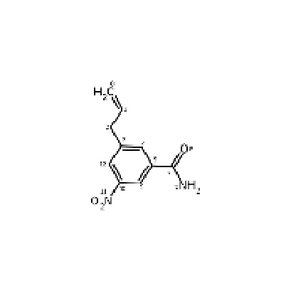 C=CCc1cc(C(N)=O)cc([N+](=O)[O-])c1